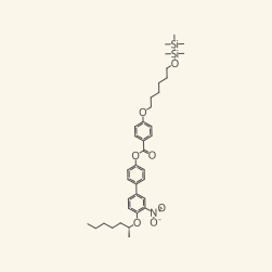 CCCCC[C@H](C)Oc1ccc(-c2ccc(OC(=O)c3ccc(OCCCCCCO[Si](C)(C)[Si](C)(C)C)cc3)cc2)cc1[N+](=O)[O-]